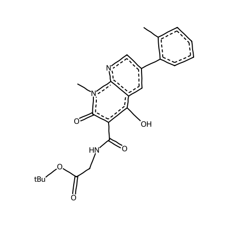 Cc1ccccc1-c1cnc2c(c1)c(O)c(C(=O)NCC(=O)OC(C)(C)C)c(=O)n2C